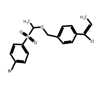 C/C=C(/Cl)c1ccc(COC(C)S(=O)(=O)c2ccc(Br)cc2)cc1